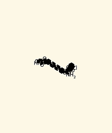 Nc1nc2c(=O)c3c(Cl)cccc3oc2cc1Oc1ccc(N2CCN(C3CCN(c4ccc5c(c4)CN(C4CCC(=O)NC4=O)C5=O)CC3)CC2)cc1